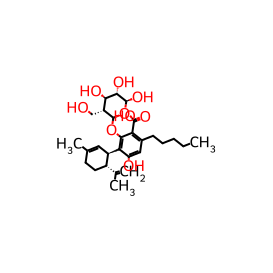 C=C(C)[C@@H]1CCC(C)=C[C@H]1c1c(O)cc(CCCCC)c(C(=O)O)c1OC1O[C@H](O)[C@@H](O)[C@H](O)[C@H]1CO